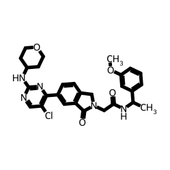 COc1cccc(C(C)NC(=O)CN2Cc3ccc(-c4nc(NC5CCOCC5)ncc4Cl)cc3C2=O)c1